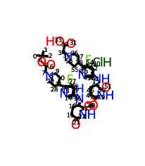 CC(C)(C)OC(=O)CN1CCC(c2ncc(NC3CCC(=O)NC3=O)cc2F)CC1.Cl.O=C(O)CN1CCC(c2ncc(NC3CCC(=O)NC3=O)cc2F)CC1